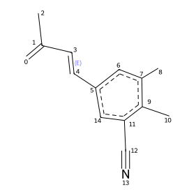 C=C(C)/C=C/c1cc(C)c(C)c(C#N)c1